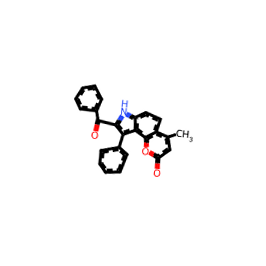 Cc1cc(=O)oc2c1ccc1[nH]c(C(=O)c3ccccc3)c(-c3ccccc3)c12